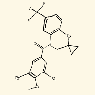 COc1c(Cl)cc(C(=O)N2CC3(CC3)Oc3ccc(C(F)(F)F)cc32)cc1Cl